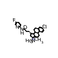 C[C@]12CCC3c4ccc(Cl)cc4CCC3C1[C@H](CCC(=O)Nc1ccc(F)cn1)C/C2=N\O